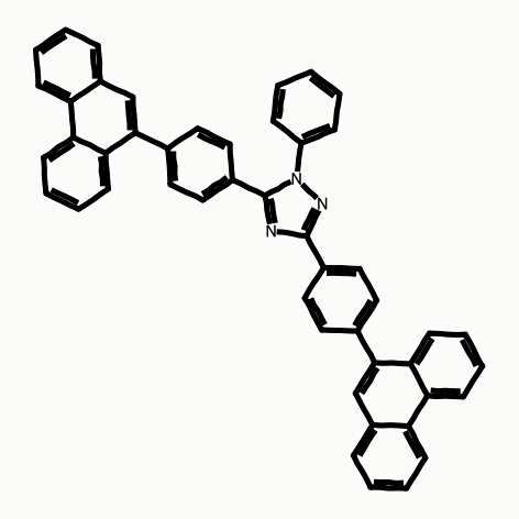 c1ccc(-n2nc(-c3ccc(-c4cc5ccccc5c5ccccc45)cc3)nc2-c2ccc(-c3cc4ccccc4c4ccccc34)cc2)cc1